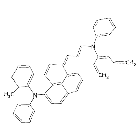 C=C/C=C(\C=C)N(/C=C/C=c1/ccc2c(N(C3=CC=CCC3C)c3ccccc3)ccc3cccc1c32)c1ccccc1